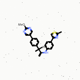 C=C(Nc1ccc(-c2csc(C)n2)cc1)C(C)(c1ccc(-c2cnc(OC)nc2)cc1)C(C)C